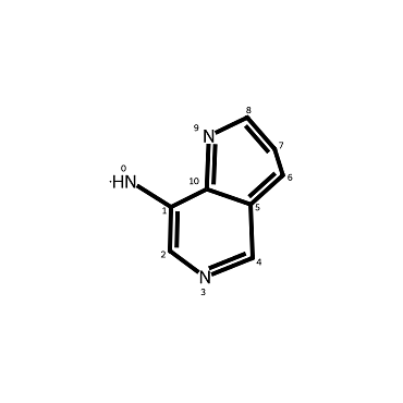 [NH]c1cncc2cccnc12